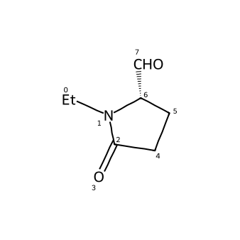 CCN1C(=O)CC[C@H]1C=O